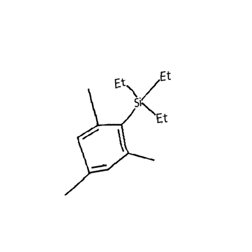 CC[Si](CC)(CC)c1c(C)cc(C)cc1C